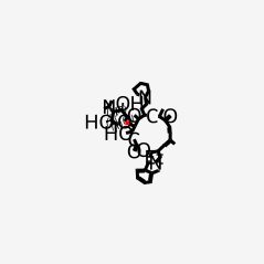 CCC1OC(=O)CC(O)C(C)C(O[C@@H]2O[C@H](C)[C@@H](O)[C@H](N(C)C)[C@H]2O)C(CCN2CCCCC2)CC(C)C(=O)C=CC(C)=CC1CN1Cc2ccccc2C1